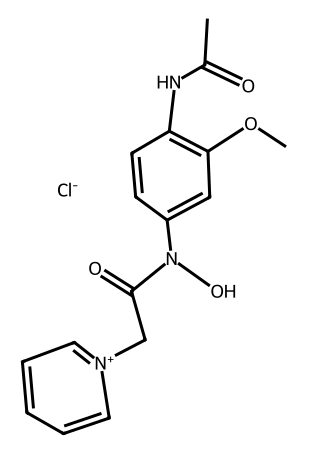 COc1cc(N(O)C(=O)C[n+]2ccccc2)ccc1NC(C)=O.[Cl-]